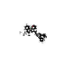 C[C@@H](C(=O)N(C)C[C@H](CCN1CCC2(CC1)CS(=O)(=O)c1ccccc12)c1ccccc1)c1ccccc1